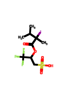 CC(C)C(C)(I)C(=O)OC(CS(=O)(=O)O)C(F)(F)F